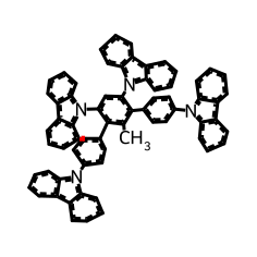 Cc1c(-c2ccc(-n3c4ccccc4c4ccccc43)cc2)c(-n2c3ccccc3c3ccccc32)cc(-n2c3ccccc3c3ccccc32)c1-c1ccc(-n2c3ccccc3c3ccccc32)cc1